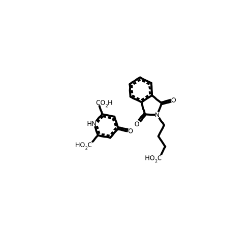 O=C(O)CCCN1C(=O)c2ccccc2C1=O.O=C(O)c1cc(=O)cc(C(=O)O)[nH]1